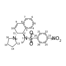 CN([C@@H]1c2ccccc2C=C[C@H]1N1CCCC1)S(=O)(=O)c1ccc([N+](=O)[O-])cc1